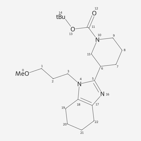 COCCCn1c(C2CCCN(C(=O)OC(C)(C)C)C2)nc2c1CCCC2